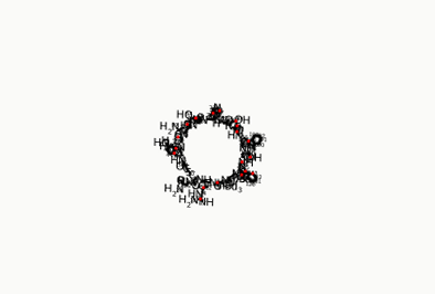 CCCC[C@H]1C(=O)N(C)[C@@H](CCCC)C(=O)N[C@@H](CCCNC(=N)N)C(=O)NC(C(=O)NCC(N)=O)CSCC(=O)N[C@@H](Cc2ccc(O)cc2)C(=O)N(C)[C@@H](C)C(=O)N[C@@H](CC(N)=O)C(=O)N2C[C@H](O)C[C@H]2C(=O)N[C@@H](Cc2cnc[nH]2)C(=O)N[C@@H](CC(C)C)C(=O)N2C[C@H](O)C[C@H]2C(=O)N[C@@H](Cc2c[nH]c3ccccc23)C(=O)N[C@@H](CO)C(=O)N[C@@H](Cc2csc3ccccc23)C(=O)N1C